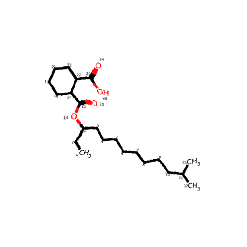 CCC(CCCCCCCCC(C)C)OC(=O)C1CCCCC1C(=O)O